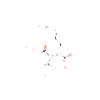 CC(C)(C)OC(=O)[C@H](CCC[13CH]=O)N(C(=O)OC(C)(C)C)C(=O)OC(C)(C)C